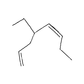 C=CCC(/C=C\CC)CC